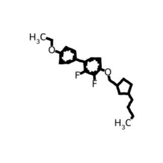 CCCCC1CCC(COc2ccc(-c3ccc(OCC)cc3)c(F)c2F)C1